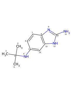 CC(C)(C)Nc1ccc2nc(N)[nH]c2c1